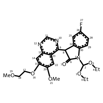 CCOC(OCC)N1C(=O)C(c2ncnc3cc(OCCOC)c(OC)cc23)c2cc(F)ccc21